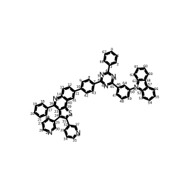 c1ccc(-c2nc(-c3ccc(-c4ccc5nc(-c6ccccc6)c6c(-c7cccnc7)c(-c7cccnc7)sc6c5c4)cc3)nc(-c3cccc(-n4c5ccccc5c5ccccc54)c3)n2)cc1